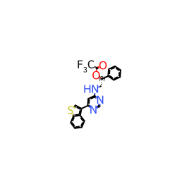 O=C(O[C@@H](CNc1cc(-c2csc3ccccc23)ncn1)c1ccccc1)C(F)(F)F